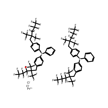 FC(F)(F)C(F)(F)C(F)(F)C(Cc1ccc(P(c2ccccc2)c2ccc(CC(C(F)(F)F)(C(F)(F)F)C(F)(F)C(F)(F)C(F)(F)F)cc2)cc1)(C(F)(F)F)C(F)(F)F.FC(F)(F)C(F)(F)C(F)(F)C(Cc1ccc(P(c2ccccc2)c2ccc(CC(C(F)(F)F)(C(F)(F)F)C(F)(F)C(F)(F)C(F)(F)F)cc2)cc1)(C(F)(F)F)C(F)(F)F.[Cl-].[Cl-].[Pt+2]